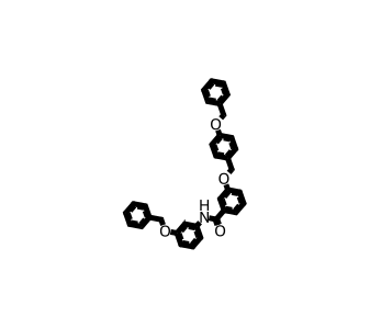 O=C(Nc1[c]c(OCc2ccccc2)ccc1)c1cccc(OCc2ccc(OCc3ccccc3)cc2)c1